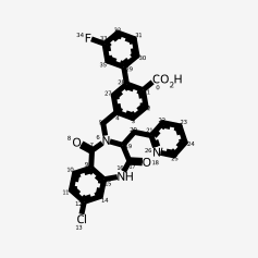 O=C(O)c1ccc(CN2C(=O)c3ccc(Cl)cc3NC(=O)C2Cc2ccccn2)cc1-c1cccc(F)c1